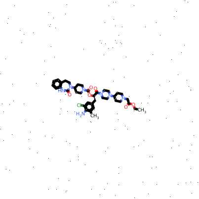 CCOC(=O)CN1CCC(N2CCN(C(=O)[C@@H](Cc3cc(C)c(N)c(Cl)c3)OC(=O)N3CCC(N4CCc5ccccc5NC4=O)CC3)CC2)CC1